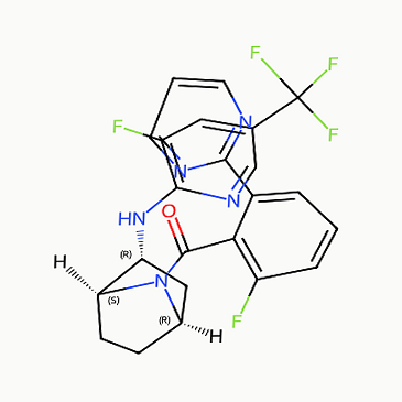 O=C(c1c(F)cccc1-c1ncccn1)N1[C@@H]2CC[C@H]1[C@H](Nc1ncc(C(F)(F)F)cc1F)C2